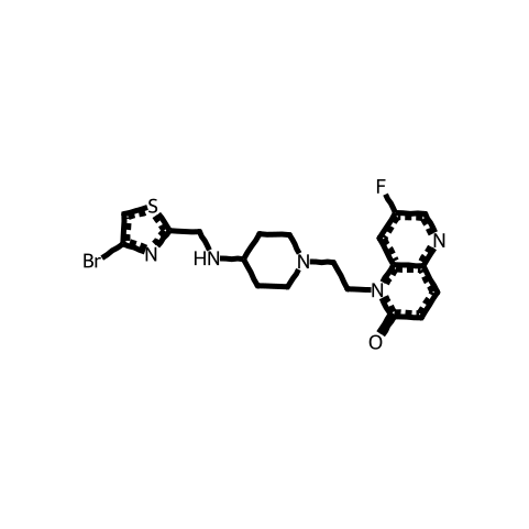 O=c1ccc2ncc(F)cc2n1CCN1CCC(NCc2nc(Br)cs2)CC1